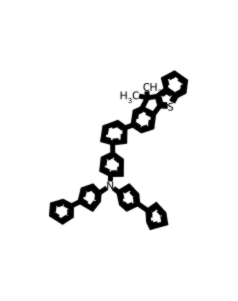 CC1(C)c2cc(-c3cccc(-c4ccc(N(c5ccc(-c6ccccc6)cc5)c5ccc(-c6ccccc6)cc5)cc4)c3)ccc2-c2sc3ccccc3c21